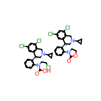 O=C(O)N(CCCl)c1ccccc1[C@@H]1CN(C2CC2)Cc2c(Cl)cc(Cl)cc21.O=C1OCCN1c1ccccc1[C@@H]1CN(C2CC2)Cc2c(Cl)cc(Cl)cc21